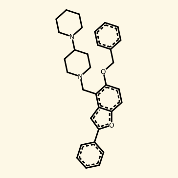 c1ccc(COc2ccc3oc(-c4ccccc4)cc3c2CN2CCC(N3CCCCC3)CC2)cc1